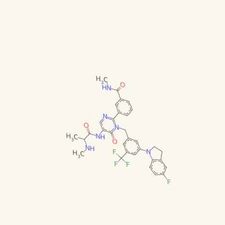 CNC(=O)c1cccc(-c2ncc(NC(=O)C(C)NC)c(=O)n2Cc2cc(N3CCc4cc(F)ccc43)cc(C(F)(F)F)c2)c1